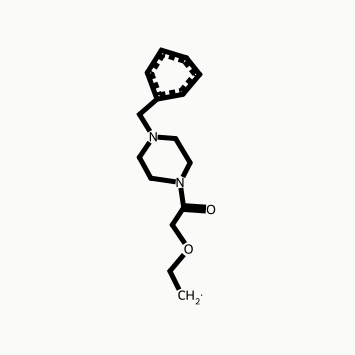 [CH2]COCC(=O)N1CCN(Cc2ccccc2)CC1